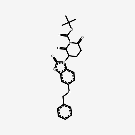 CC(C)(C)OC(=O)N1C(=O)CCC(n2c(=O)oc3cc(OCc4ccccc4)ccc32)C1=O